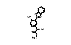 O=C(CO)C(O)c1ccc(O)c(-n2nc3ccccc3n2)c1